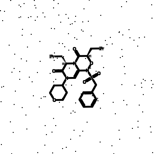 CC(C)C[C@H]1ON(S(=O)(=O)Cc2ccccc2)C2=CN(C3CCOCC3)C(=O)[C@H](CC(C)C)N2C1=O